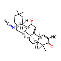 [C-]#[N+]C1=C[C@]2(C)C3=CC(=O)[C@@H]4[C@@H]5CC(C)(C)CC[C@]5(N=C=C)CC[C@@]4(C)[C@]3(C)CC[C@H]2C(C)(C)C1=O